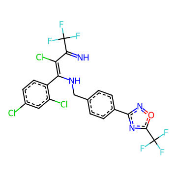 N=C(/C(Cl)=C(\NCc1ccc(-c2noc(C(F)(F)F)n2)cc1)c1ccc(Cl)cc1Cl)C(F)(F)F